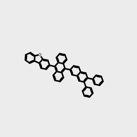 c1ccc(-c2cc3ccc(-c4c5ccccc5c(-c5ccc6c(c5)oc5ccccc56)c5ccccc45)cc3cc2-c2ccccc2)cc1